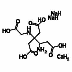 NC(CC(=O)O)C(CC(=O)O)(CC(=O)O)NCC(=O)O.[CaH2].[NaH].[NaH]